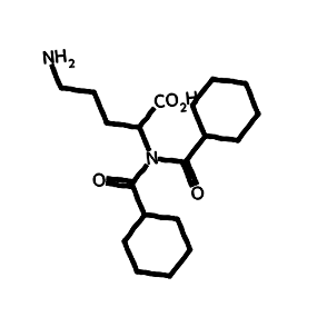 NCCCC(C(=O)O)N(C(=O)C1CCCCC1)C(=O)C1CCCCC1